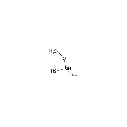 [SiH3]O[SiH](S)S